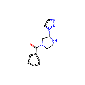 O=C(c1ccccc1)N1CCNC(n2ccnn2)C1